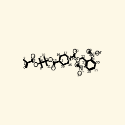 C=C(C)C(=O)OC(C)(C)C(C)(C)OC(=O)C1CCN(C(=O)OCc2c([N+](=O)[O-])cccc2[N+](=O)[O-])CC1